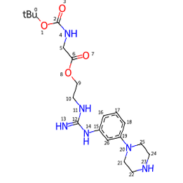 CC(C)(C)OC(=O)NCC(=O)OCCNC(=N)Nc1cccc(N2CCNCC2)c1